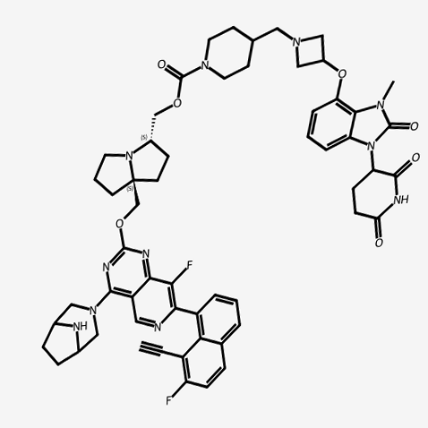 C#Cc1c(F)ccc2cccc(-c3ncc4c(N5CC6CCC(C5)N6)nc(OC[C@@]56CCCN5[C@H](COC(=O)N5CCC(CN7CC(Oc8cccc9c8n(C)c(=O)n9C8CCC(=O)NC8=O)C7)CC5)CC6)nc4c3F)c12